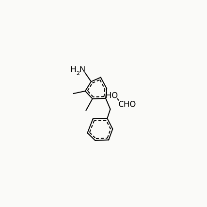 Cc1c(N)ccc(Cc2ccccc2)c1C.O=CO